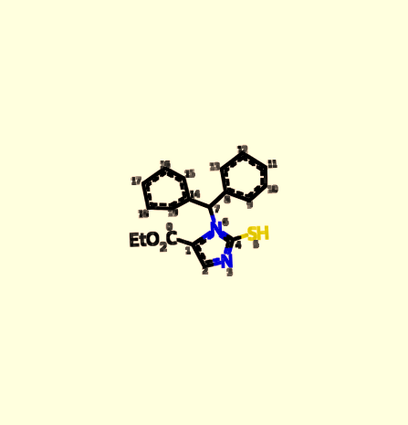 CCOC(=O)c1cnc(S)n1C(c1ccccc1)c1ccccc1